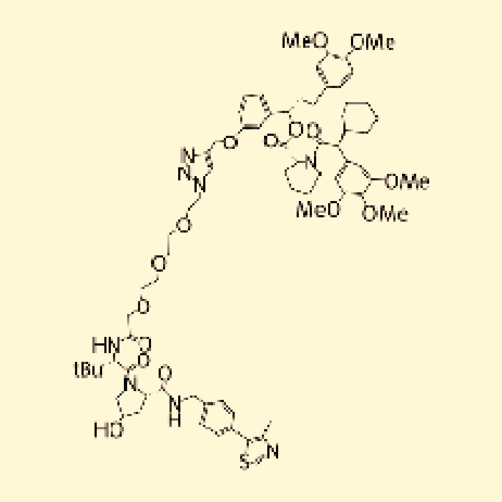 COc1ccc(CC[C@H](OC(=O)[C@H]2CCCCN2C(=O)[C@H](c2cc(OC)c(OC)c(OC)c2)C2CCCCC2)c2cccc(OCc3cn(CCOCCOCCOCC(=O)N[C@H](C(=O)N4C[C@H](O)C[C@H]4C(=O)NCc4ccc(-c5scnc5C)cc4)C(C)(C)C)nn3)c2)cc1OC